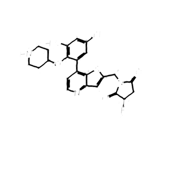 Cc1cc(Cl)cc(-c2ccnc3cc(CN4C(=O)C[C@@H](F)C4=O)sc23)c1OC1CCNCC1